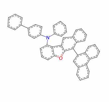 c1ccc(-c2ccc(N(c3ccccc3)c3cccc4oc5c(-c6cc7ccccc7c7ccccc67)c6ccccc6cc5c34)cc2)cc1